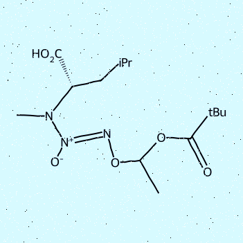 CC(C)C[C@@H](C(=O)O)N(C)/[N+]([O-])=N/OC(C)OC(=O)C(C)(C)C